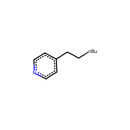 CCCCCCc1c[c]ncc1